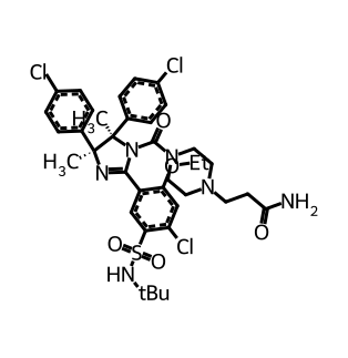 CCOc1cc(Cl)c(S(=O)(=O)NC(C)(C)C)cc1C1=N[C@@](C)(c2ccc(Cl)cc2)[C@@](C)(c2ccc(Cl)cc2)N1C(=O)N1CCN(CCC(N)=O)CC1